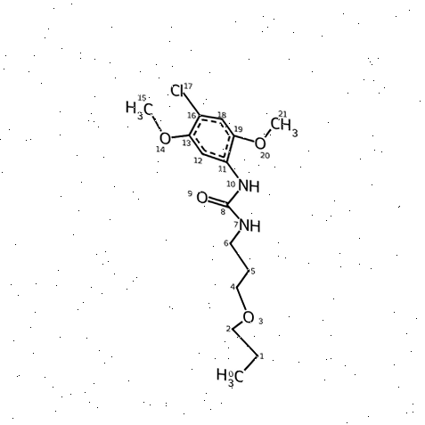 CCCOCCCNC(=O)Nc1cc(OC)c(Cl)cc1OC